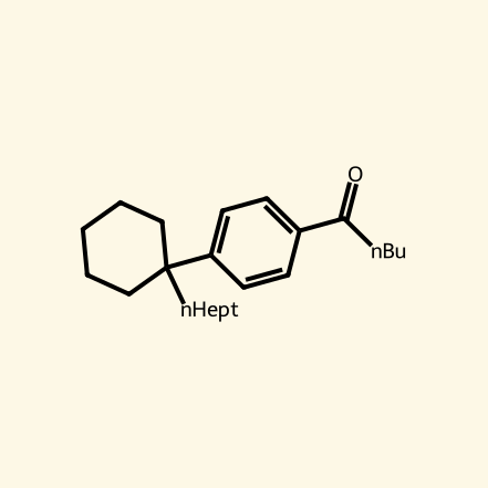 CCCCCCCC1(c2ccc(C(=O)CCCC)cc2)CCCCC1